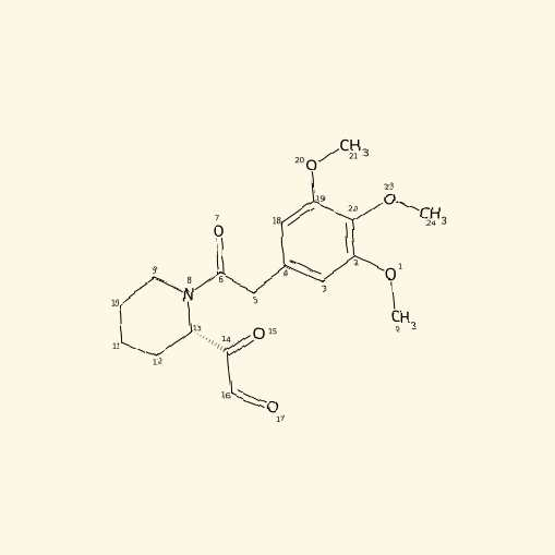 COc1cc(CC(=O)N2CCCC[C@H]2C(=O)C=O)cc(OC)c1OC